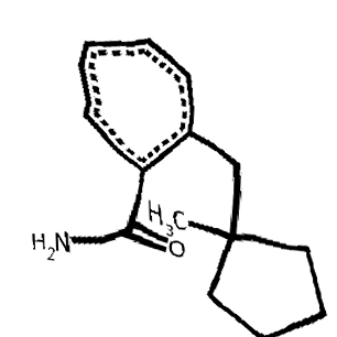 CC1(Cc2ccccc2C(N)=O)CCCC1